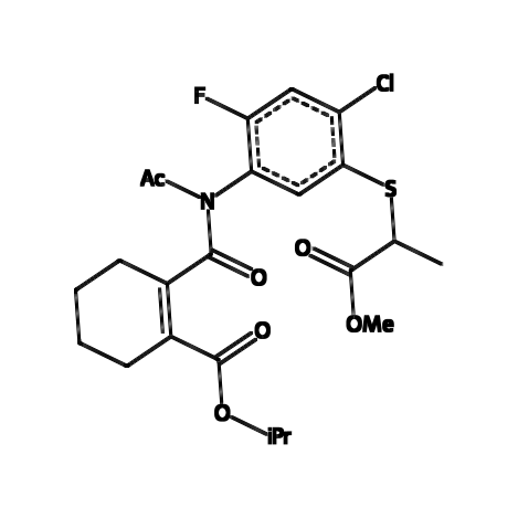 COC(=O)C(C)Sc1cc(N(C(C)=O)C(=O)C2=C(C(=O)OC(C)C)CCCC2)c(F)cc1Cl